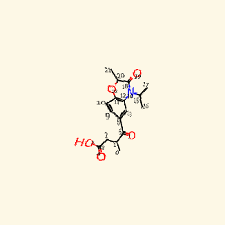 CC(CC(=O)O)C(=O)c1ccc2c(c1)N(C(C)C)C(=O)C(C)O2